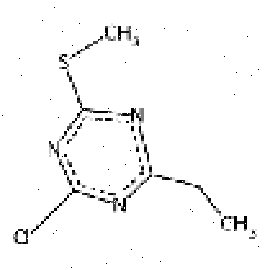 CCc1nc(Cl)nc(SC)n1